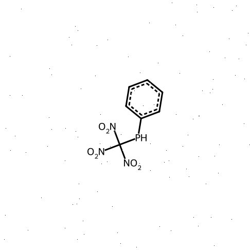 O=[N+]([O-])C(Pc1ccccc1)([N+](=O)[O-])[N+](=O)[O-]